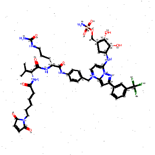 CC(C)[C@@H](NC(=O)CCCCCN1C(=O)C=CC1=O)C(=O)N[C@H](CCCNC(N)=O)C(=O)Nc1ccc(C[n+]2ccc(N[C@H]3C[C@@H](COS(N)(=O)=O)[C@H](O)[C@@H]3O)n3nc(-c4cccc(C(F)(F)F)c4)cc32)cc1